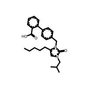 CCCCCc1cn(CC(C)C)c(=O)n1Cc1ccc(-c2ccccc2C(=O)O)cc1